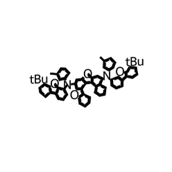 Cc1cccc(N(c2cc3oc4cc(N(c5cccc(C)c5)c5cccc6c5oc5c(C(C)(C)C)cccc56)c5oc6ccccc6c5c4c3c3ccccc23)c2cccc3c2oc2c(C(C)(C)C)cccc23)c1